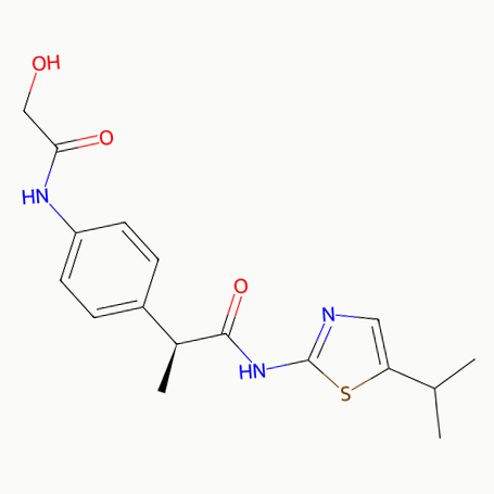 CC(C)c1cnc(NC(=O)[C@@H](C)c2ccc(NC(=O)CO)cc2)s1